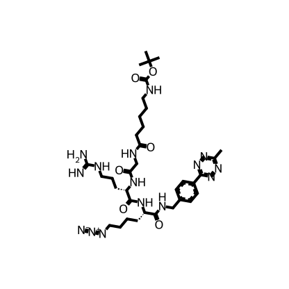 Cc1nnc(-c2ccc(CNC(=O)[C@H](CCCCN=[N+]=[N-])NC(=O)[C@H](CCCNC(=N)N)NC(=O)CNC(=O)CCCCCNC(=O)OC(C)(C)C)cc2)nn1